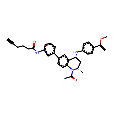 C#CCCCC(=O)Nc1cccc(-c2ccc3c(c2)[C@H](Nc2ccc(C(=C)OC)cc2)C[C@H](C)N3C(C)=O)c1